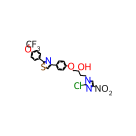 O=[N+]([O-])c1cn(CCC(O)COc2ccc(-c3csc(-c4ccc(OC(F)(F)F)cc4)n3)cc2)c(Cl)n1